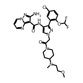 COCCN(C)C1CCN(C(=O)Cn2cc(NC(=O)c3c(N)nn4cccnc34)c(-c3cc(Cl)ccc3OC(F)F)n2)CC1